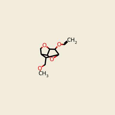 C=COC1C2OC3C(COC31)C2COC